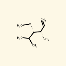 C=C[C@H](C)[C@@H](OC)C(C)C